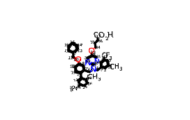 Cc1cc(CN(Cc2cc(OCc3ccccc3)ccc2-c2cc(C(C)C)ccc2C)c2ncc(OCCCC(=O)O)cn2)cc(C(F)(F)F)c1